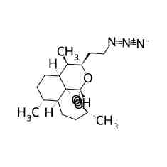 C[C@H]1[C@@H](CCN=[N+]=[N-])O[C@@H]2O[C@]3(C)CC[C@H]4[C@H](C)CC[C@@H]1[C@@]24OO3